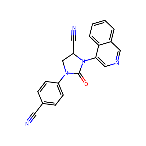 N#Cc1ccc(N2CC(C#N)N(c3cncc4ccccc34)C2=O)cc1